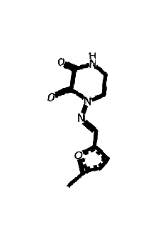 Cc1ccc(C=NN2CCNC(=O)C2=O)o1